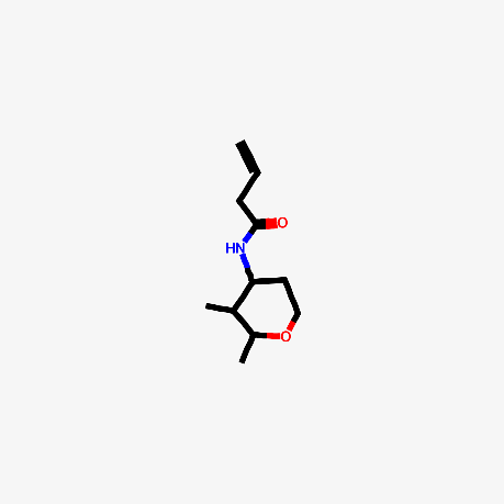 C=CCC(=O)NC1CCOC(C)C1C